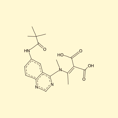 CC(=C(C(=O)O)C(=O)O)N(C)c1ncnc2ccc(NC(=O)C(C)(C)C)cc12